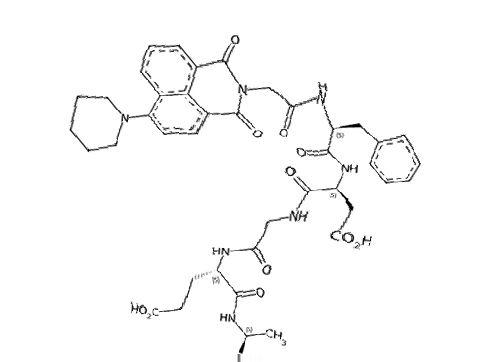 C[C@H](NC(=O)[C@H](CCC(=O)O)NC(=O)CNC(=O)[C@H](CC(=O)O)NC(=O)[C@H](Cc1ccccc1)NC(=O)CN1C(=O)c2cccc3c(N4CCCCC4)ccc(c23)C1=O)C(=O)O